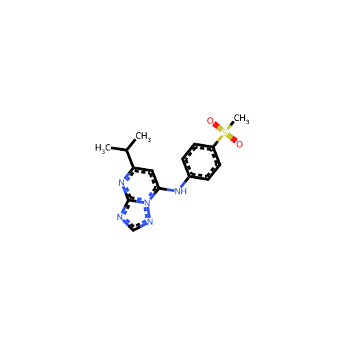 CC(C)c1cc(Nc2ccc(S(C)(=O)=O)cc2)n2ncnc2n1